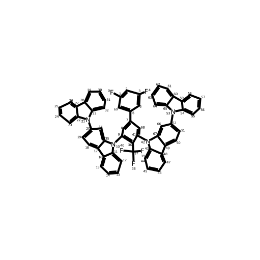 Fc1cc(F)cc(-c2cc(-n3c4ccccc4c4ccc(-n5c6ccccc6c6ccccc65)cc43)c(C(F)(F)F)c(-n3c4ccccc4c4ccc(-n5c6ccccc6c6ccccc65)cc43)c2)c1